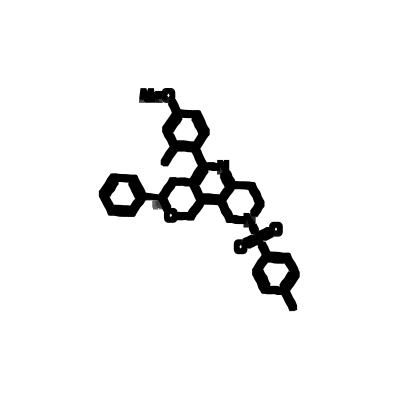 COc1ccc(-c2nc3c(c4c2C[C@H](c2ccccc2)OC4)CN(S(=O)(=O)c2ccc(C)cc2)CC3)c(C)c1